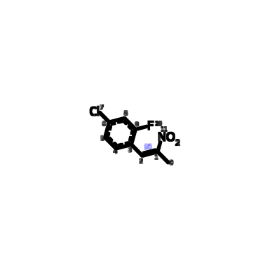 C/C(=C/c1ccc(Cl)cc1F)[N+](=O)[O-]